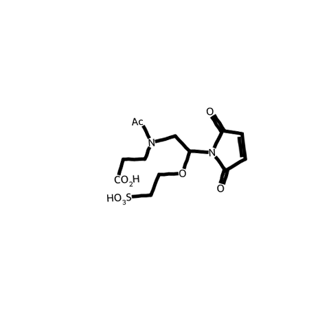 CC(=O)N(CCC(=O)O)CC(OCCS(=O)(=O)O)N1C(=O)C=CC1=O